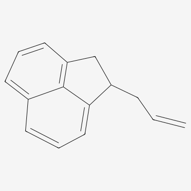 C=CCC1Cc2cccc3cccc1c23